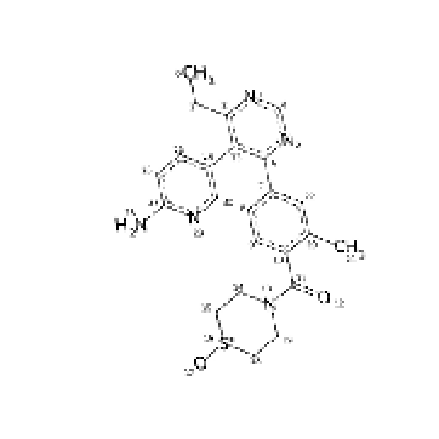 CCc1ncnc(-c2ccc(C(=O)N3CC[S+]([O-])CC3)c(C)c2)c1-c1ccc(N)nc1